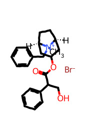 C[N+]1(Cc2ccccc2)[C@@H]2CC[C@H]1CC(OC(=O)C(CO)c1ccccc1)C2.[Br-]